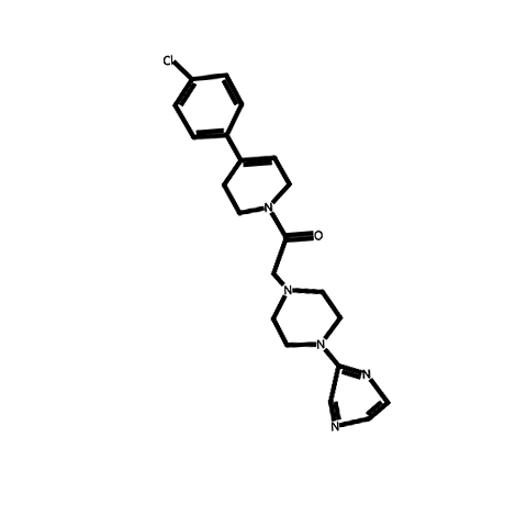 O=C(CN1CCN(c2cnccn2)CC1)N1CC=C(c2ccc(Cl)cc2)CC1